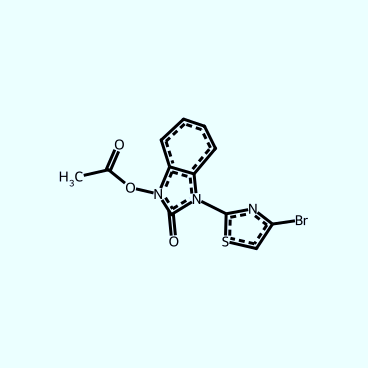 CC(=O)On1c(=O)n(-c2nc(Br)cs2)c2ccccc21